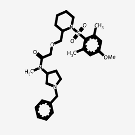 COc1cc(C)c(S(=O)(=O)N2CCCCC2COCC(=O)N(C)C2CCN(Cc3ccccc3)C2)c(C)c1